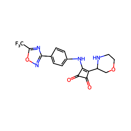 O=c1c(Nc2ccc(-c3noc(C(F)(F)F)n3)cc2)c(C2COCCN2)c1=O